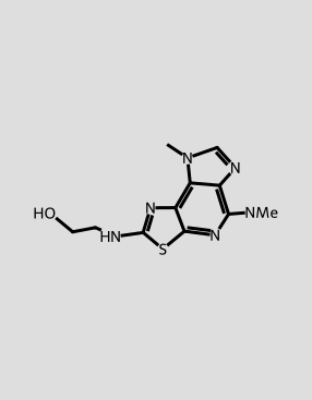 CNc1nc2sc(NCCO)nc2c2c1ncn2C